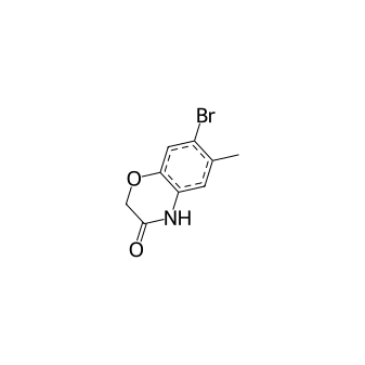 Cc1cc2c(cc1Br)OCC(=O)N2